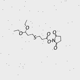 CCOC(CCSCCC(=O)ON1C(=O)CCC1=O)OCC